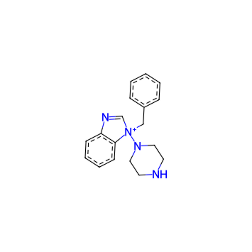 C1=Nc2ccccc2[N+]1(Cc1ccccc1)N1CCNCC1